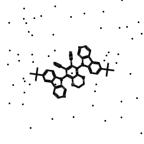 CC(C)(C)c1ccc2c(c1)c1ccncc1n2-c1c(C#N)c(C#N)c(-n2c3ccc(C(C)(C)C)cc3c3ccncc32)c2c1OCCO2